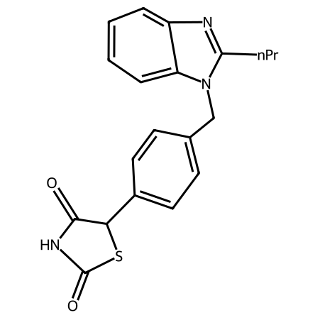 CCCc1nc2ccccc2n1Cc1ccc(C2SC(=O)NC2=O)cc1